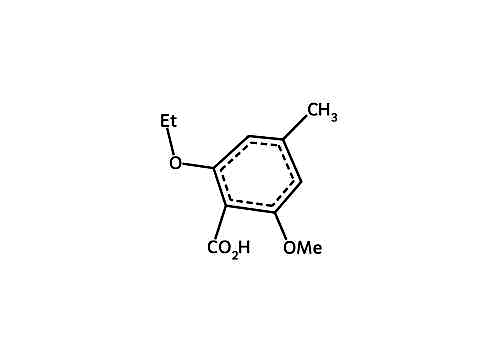 CCOc1cc(C)cc(OC)c1C(=O)O